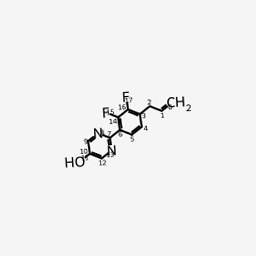 C=CCc1ccc(-c2ncc(O)cn2)c(F)c1F